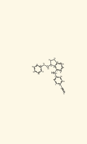 N#Cc1ccc(Nc2ncnc3c2C(OCc2ccccc2)CC3)cc1